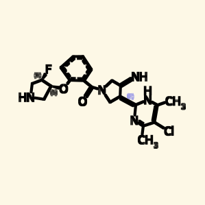 CC1=N/C(=C2\CN(C(=O)c3ccccc3O[C@H]3CNC[C@H]3F)CC2=N)NC(C)=C1Cl